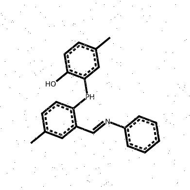 Cc1ccc(Pc2cc(C)ccc2O)c(/C=N/c2ccccc2)c1